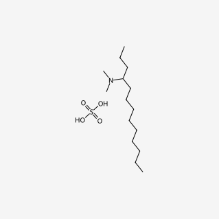 CCCCCCCCCC(CCC)N(C)C.O=S(=O)(O)O